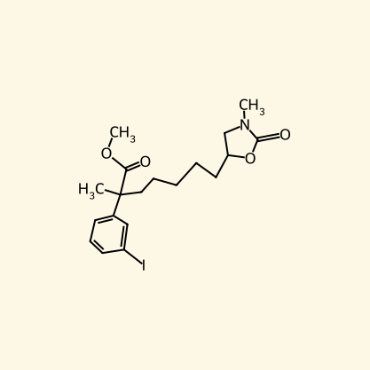 COC(=O)C(C)(CCCCCC1CN(C)C(=O)O1)c1cccc(I)c1